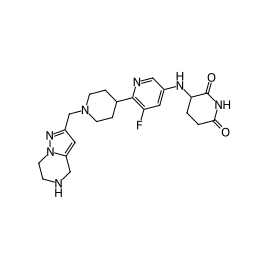 O=C1CCC(Nc2cnc(C3CCN(Cc4cc5n(n4)CCNC5)CC3)c(F)c2)C(=O)N1